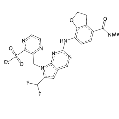 CCS(=O)(=O)c1nccnc1Cn1c(C(F)F)cc2cnc(Nc3ccc(C(=O)NC)c4c3OCC4)nc21